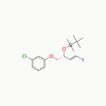 CC(C)(C)[Si](C)(C)O[C@H](/C=C/I)COc1cccc(Cl)c1